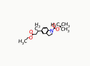 CCOC(=O)C[C@@H](C)c1ccc2c(c1)CCN2C(=O)OC(C)(C)C